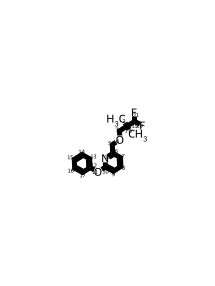 CC(C)(COCc1cccc(Oc2ccccc2)n1)C(F)F